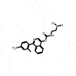 CCN(CC)CCNC(=O)Oc1cnc(-c2ccc(N)cc2C)c2ccccc12